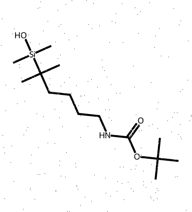 CC(C)(C)OC(=O)NCCCCC(C)(C)[Si](C)(C)O